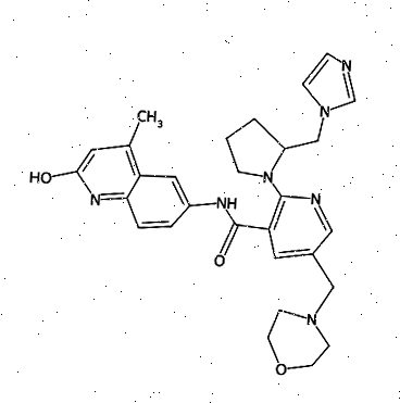 Cc1cc(O)nc2ccc(NC(=O)c3cc(CN4CCOCC4)cnc3N3CCCC3Cn3ccnc3)cc12